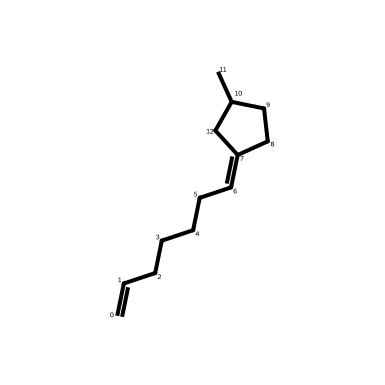 C=CCCCCC=C1CCC(C)C1